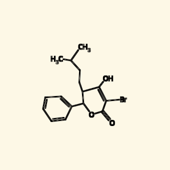 CC(C)CCC1C(O)=C(Br)C(=O)OC1c1ccccc1